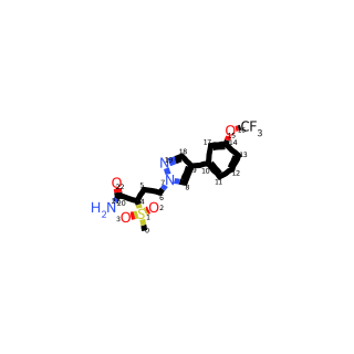 CS(=O)(=O)C(CCn1cc(-c2cccc(OC(F)(F)F)c2)cn1)C(N)=O